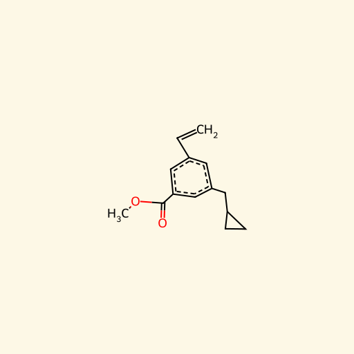 C=Cc1cc(CC2CC2)cc(C(=O)OC)c1